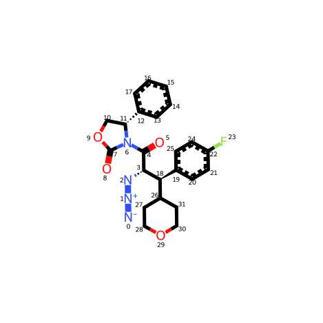 [N-]=[N+]=N[C@H](C(=O)N1C(=O)OC[C@@H]1c1ccccc1)[C@@H](c1ccc(F)cc1)C1CCOCC1